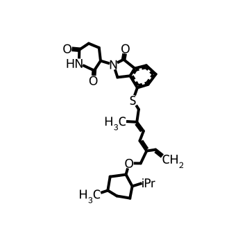 C=C/C(=C\C=C(/C)CSc1cccc2c1CN(C1CCC(=O)NC1=O)C2=O)COC1CC(C)CCC1C(C)C